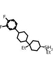 CC[SiH2][C@H]1CC[C@](CC)(C2CCC(c3ccc(F)c(F)c3)CC2)CC1